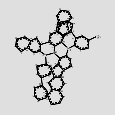 CC(C)(C)c1ccc(N2c3ccc4c(oc5cc6ccccc6cc54)c3B3c4c(cc5c(oc6ccccc65)c42)-c2cc4ccccc4cc2N3c2ccc(-c3ccccc3)cc2)c(-c2ccccc2)c1